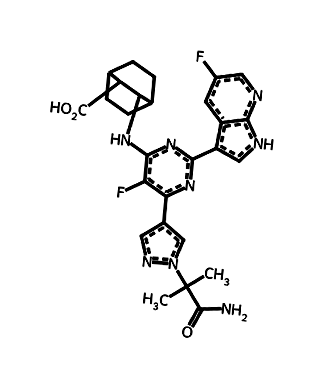 CC(C)(C(N)=O)n1cc(-c2nc(-c3c[nH]c4ncc(F)cc34)nc(NC3C4CCC(CC4)C3C(=O)O)c2F)cn1